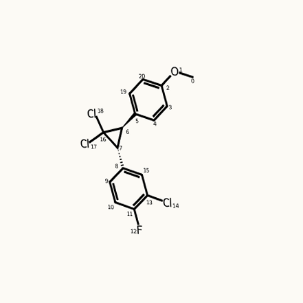 COc1ccc([C@H]2[C@H](c3ccc(F)c(Cl)c3)C2(Cl)Cl)cc1